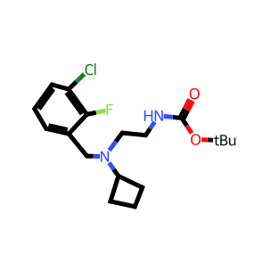 CC(C)(C)OC(=O)NCCN(Cc1cccc(Cl)c1F)C1CCC1